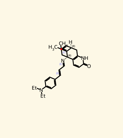 C/C=C1\[C@H]2C=C(C)C[C@]1(/N=C/C=C/c1ccc(N(CC)CC)cc1)c1ccc(=O)[nH]c1C2